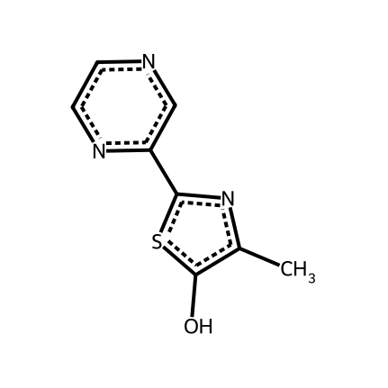 Cc1nc(-c2cnccn2)sc1O